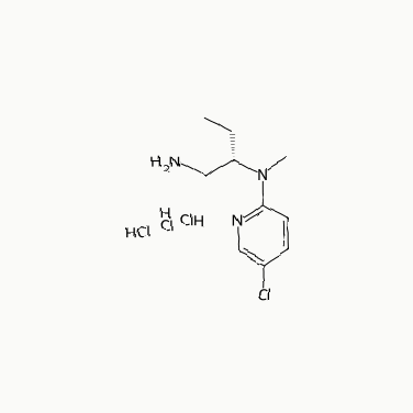 CC[C@@H](CN)N(C)c1ccc(Cl)cn1.Cl.Cl.Cl